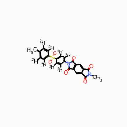 [2H]c1c([2H])c(S(=O)(=O)c2c([2H])c([2H])c(-n3c(=O)c4cc5c(=O)n(C)c(=O)c5cc4c3=O)c([2H])c2[2H])c([2H])c([2H])c1C